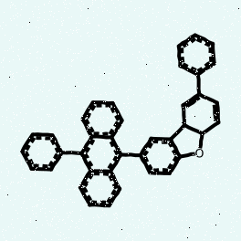 C1=CC2Oc3ccc(-c4c5ccccc5c(-c5ccccc5)c5ccccc45)cc3C2C=C1c1ccccc1